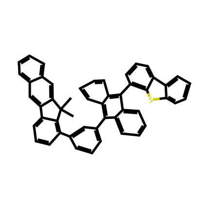 CC1(C)c2cc3ccccc3cc2-c2cccc(-c3cccc(-c4c5ccccc5c(-c5cccc6c5sc5ccccc56)c5ccccc45)c3)c21